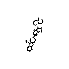 [2H]C1c2ccccc2CC12CCC(c1cnc3c(N4CCCc5ncccc54)n[nH]c3n1)CC2